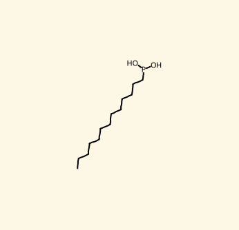 CCCCCCCCCCCCCP(O)O